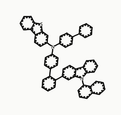 c1ccc(-c2ccc(N(c3ccc(-c4ccccc4-c4ccc5c6ccccc6n(-c6cccc7ccccc67)c5c4)cc3)c3ccc4c(c3)sc3ccccc34)cc2)cc1